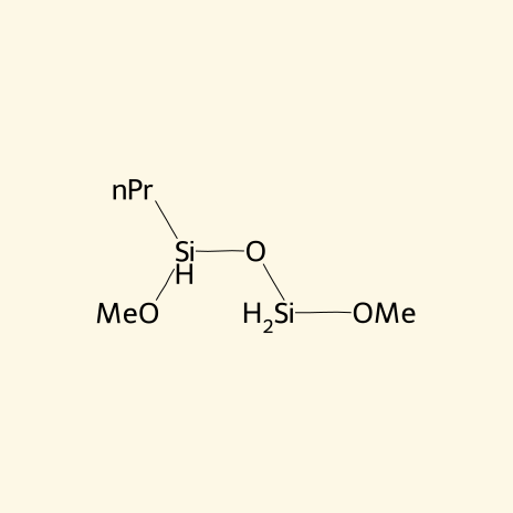 CCC[SiH](OC)O[SiH2]OC